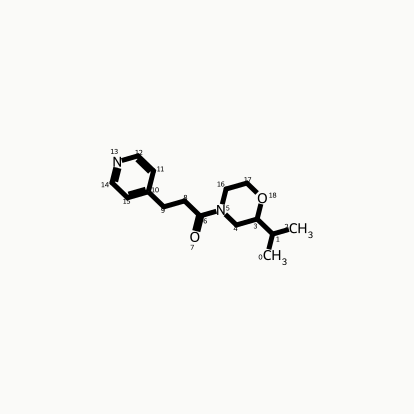 CC(C)C1CN(C(=O)CCc2ccncc2)CCO1